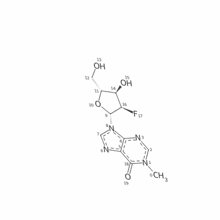 Cn1cnc2c(ncn2[C@@H]2O[C@H](CO)[C@@H](O)[C@H]2F)c1=O